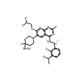 CC(=O)NC1(C)CCN(c2cc3c(N[C@H](C)c4cccc(C(F)F)c4F)nc(C)nc3nc2OCC(F)F)CC1